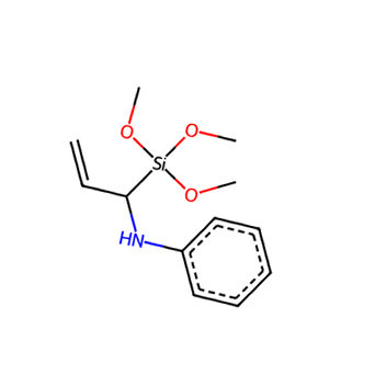 C=CC(Nc1ccccc1)[Si](OC)(OC)OC